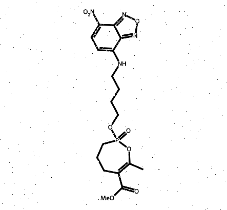 COC(=O)C1=C(C)OP(=O)(OCCCCNc2ccc([N+](=O)[O-])c3nonc23)CCC1